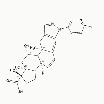 C[C@]12Cc3cnn(-c4ccc(F)nc4)c3C=C1C=C[C@@H]1C2[C@@H](O)C[C@@]2(C)C1CC[C@]2(O)C(=O)S